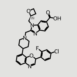 O=C(O)c1ccc2nc(CN3CCC(c4cccc5c4OC(c4ccc(Cl)cc4F)C=N5)CC3)n(C[C@@H]3CCO3)c2c1